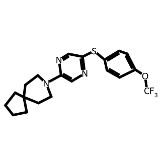 FC(F)(F)Oc1ccc(Sc2cnc(N3CCC4(CCCC4)CC3)cn2)cc1